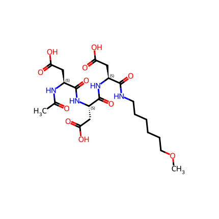 COCCCCCCNC(=O)[C@H](CC(=O)O)NC(=O)[C@H](CC(=O)O)NC(=O)[C@H](CC(=O)O)NC(C)=O